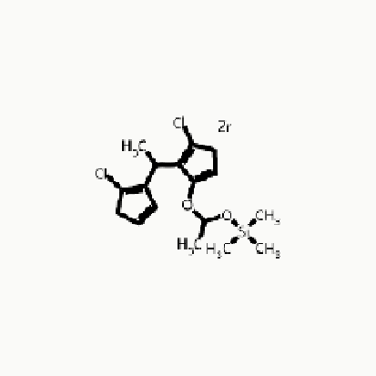 CC(OC1=CCC(Cl)=C1C(C)C1=C(Cl)CC=C1)O[Si](C)(C)C.[Zr]